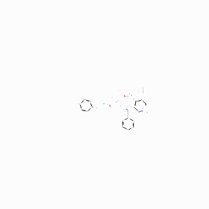 CN1C(=O)C(NC(=O)CCc2ccc(C(F)(F)F)cc2)N=C(c2ccccc2)c2cnccc21